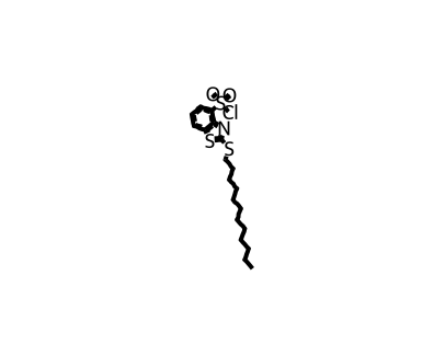 CCCCCCCCCCCCSc1nc2c(S(=O)(=O)Cl)cccc2s1